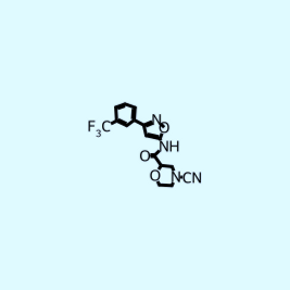 N#CN1CCOC(C(=O)Nc2cc(-c3cccc(C(F)(F)F)c3)no2)C1